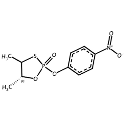 CC1SP(=O)(Oc2ccc([N+](=O)[O-])cc2)O[C@@H]1C